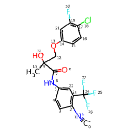 [C-]#[N+]c1ccc(NC(=O)C(C)(O)COc2ccc(Cl)c(F)c2)cc1C(F)(F)F